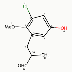 COc1c(Cl)cc(O)cc1CC(C)C=O